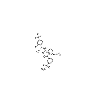 CC[C@@H]1CC[C@H](C(=O)NC(c2ccc(C(F)(F)F)cc2F)C2CC2)N1C(=O)c1cccc(S(C)(=O)=O)c1